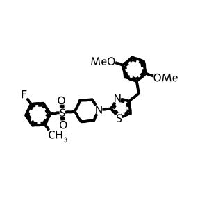 COc1ccc(OC)c(Cc2csc(N3CCC(S(=O)(=O)c4cc(F)ccc4C)CC3)n2)c1